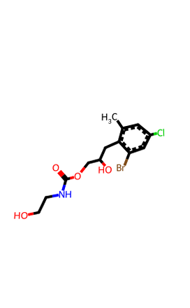 Cc1cc(Cl)cc(Br)c1CC(O)COC(=O)NCCO